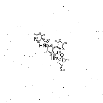 COC(=O)[C@H](CCSC)NC(=O)c1ccc(NC(=S)c2cccnc2)cc1-c1ccccc1